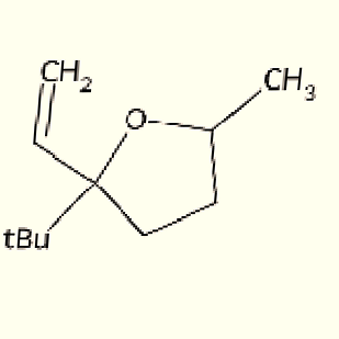 C=CC1(C(C)(C)C)CCC(C)O1